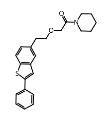 O=C(COCCc1ccc2sc(-c3ccccc3)cc2c1)N1CCCCC1